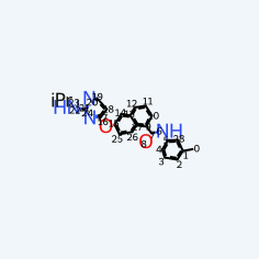 Cc1cccc(NC(=O)c2cccc3cc(Oc4ccnc(NC(C)C)n4)ccc23)c1